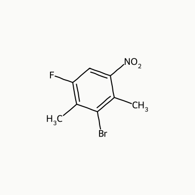 Cc1c(F)cc([N+](=O)[O-])c(C)c1Br